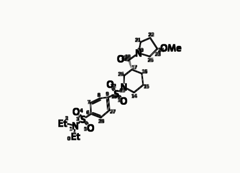 CCN(CC)S(=O)(=O)c1ccc(S(=O)(=O)N2CCC[C@@H](C(=O)N3CC[C@H](OC)C3)C2)cc1